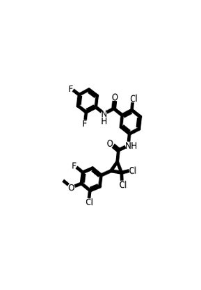 COc1c(F)cc(C2C(C(=O)Nc3ccc(Cl)c(C(=O)Nc4ccc(F)cc4F)c3)C2(Cl)Cl)cc1Cl